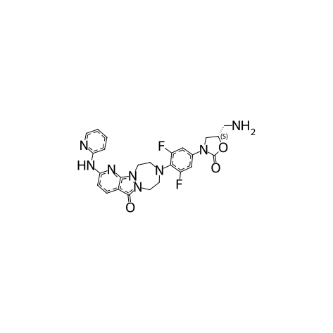 NC[C@H]1CN(c2cc(F)c(N3CCn4c(=O)c5ccc(Nc6ccccn6)nc5n4CC3)c(F)c2)C(=O)O1